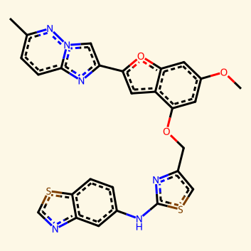 COc1cc(OCc2csc(Nc3ccc4scnc4c3)n2)c2cc(-c3cn4nc(C)ccc4n3)oc2c1